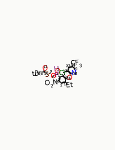 CCc1cc([N+](=O)[O-])c([PH](=O)OCSC(=O)C(C)(C)C)cc1Oc1ncc(C(F)(F)F)cc1Cl